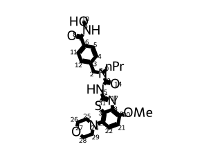 CCCN(Cc1ccc(C(=O)NO)cc1)C(=O)Nc1nc2c(OC)ccc(N3CCOCC3)c2s1